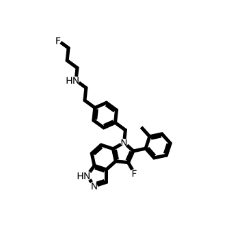 Cc1ccccc1-c1c(F)c2c3cn[nH]c3ccc2n1Cc1ccc(CCNCCCF)cc1